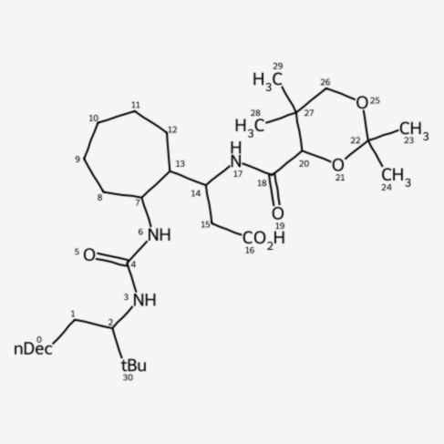 CCCCCCCCCCCC(NC(=O)NC1CCCCCC1C(CC(=O)O)NC(=O)C1OC(C)(C)OCC1(C)C)C(C)(C)C